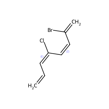 C=C/C=C(Cl)\C=C/C(=C)Br